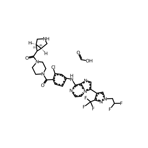 O=C(c1ccc(Nc2nccn3c(-c4cn(CC(F)F)nc4C(F)(F)F)cnc23)cc1Cl)N1CCN(C(=O)C2[C@H]3CNC[C@@H]23)CC1.O=CO